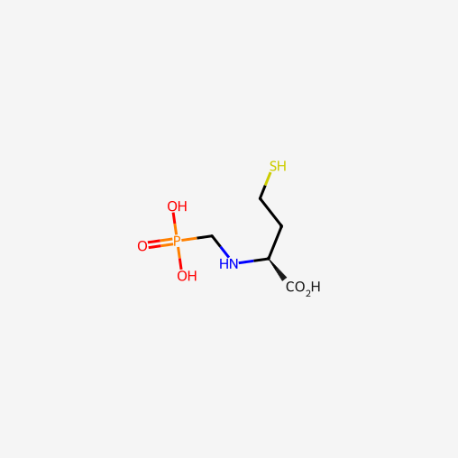 O=C(O)[C@H](CCS)NCP(=O)(O)O